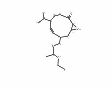 CCOC(C)OCC1/C=C\C(C(C)C)CCC(=O)C2OC2C1